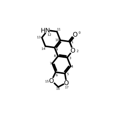 O=c1oc2cc3c(cc2c2c1CNCC2)OCO3